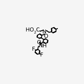 Cc1ccc(CCN(CCC(=O)O)C(=O)c2ccccc2-c2ccccc2C(=O)NCc2cc(F)ccc2F)cc1